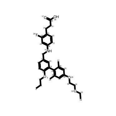 CCCOc1ccc(CNc2ccc(CCC(=O)O)c(F)c2)cc1-c1c(C)cc(OCCOCC)cc1C